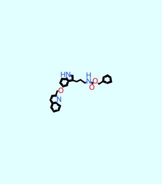 O=C(NCCCc1c[nH]c2ccc(OCc3ccc4ccccc4n3)cc12)OCc1ccccc1